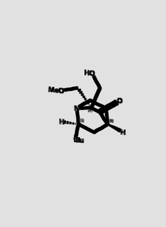 COC[C@]1(CO)C(=O)[C@@H]2CCN1[C@H](C(C)(C)C)C2